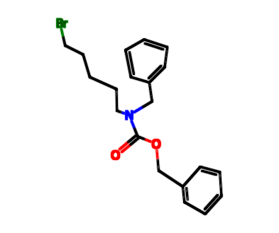 O=C(OCc1ccccc1)N(CCCCCBr)Cc1ccccc1